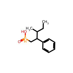 CCC(C)C(C[PH](=O)O)c1ccccc1